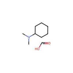 CN(C)C1CCCCC1.O=CO